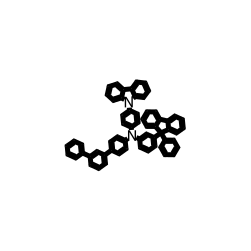 c1ccc(-c2cccc(-c3ccc(N(c4ccc(-n5c6ccccc6c6ccccc65)cc4)c4cccc(C5(c6ccccc6)c6ccccc6-c6ccccc65)c4)cc3)c2)cc1